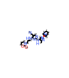 Cc1nn(C2CC3CCC(C2)N3C)cc1Nc1ncc(C#N)c(NCCCN2CCCOC2=O)n1